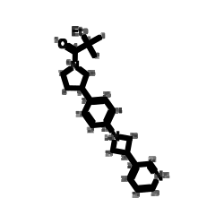 CCC(C)(C)C(=O)N1CCC(c2ccc(N3CC(c4cccnc4)C3)cc2)C1